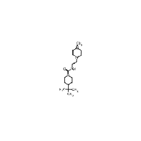 CN1CCN(CCNC(=O)N2CCC(C(C)(C)C)CC2)CC1